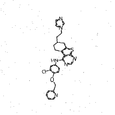 Clc1cc(Nc2ncnc3sc4c(c23)CCC(CCn2ccnc2)C4)ccc1OCc1ccccn1